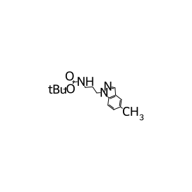 Cc1ccc2c(cnn2CCCNC(=O)OC(C)(C)C)c1